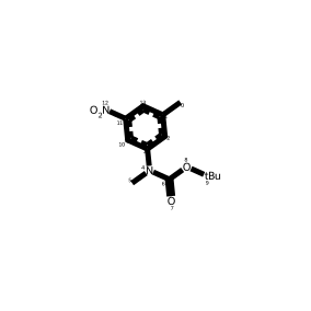 Cc1cc(N(C)C(=O)OC(C)(C)C)cc([N+](=O)[O-])c1